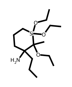 CCCC1(N)CCC[Si](OCC)(OCC)C1(C)OCC